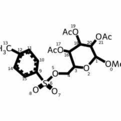 COC1OC(COS(=O)(=O)c2ccc(C)cc2)C(OC(C)=O)C(OC(C)=O)C1OC(C)=O